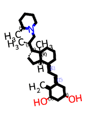 C=C1/C(=C\C=C2/CCC[C@]3(C)[C@@H]([C@H](C)CN4CCCC[C@@H]4C)CC[C@@H]23)C[C@@H](O)C[C@@H]1O